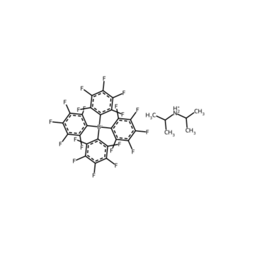 CC(C)[NH2+]C(C)C.Fc1c(F)c(F)c([B-](c2c(F)c(F)c(F)c(F)c2F)(c2c(F)c(F)c(F)c(F)c2F)c2c(F)c(F)c(F)c(F)c2F)c(F)c1F